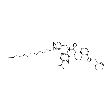 CCCCCCCCCCCCn1cc(CN(C(=O)C2CCCc3c(OCc4ccccc4)cccc32)c2ccc(C(C)C)nc2)cn1